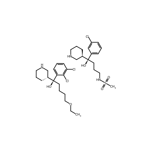 CCOCCCC[C@@](O)(c1cccc(Cl)c1Cl)[C@@H]1CCCNC1.CS(=O)(=O)NCCC[C@@](O)(c1cccc(Cl)c1)[C@@H]1CCCNC1